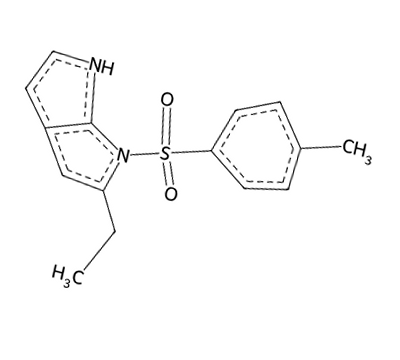 CCc1cc2cc[nH]c2n1S(=O)(=O)c1ccc(C)cc1